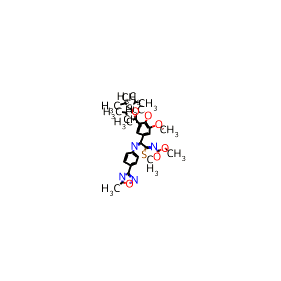 COC(=O)N=C(SC)C(=Nc1ccc(-c2noc(C)n2)cc1)c1cc(OC)c(OC)c(C(C)O[Si](C(C)C)(C(C)C)C(C)C)c1